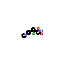 O=C1CCC(c2cccc(-c3ccc(N4CCCCC4)cc3)c2Cl)C(=O)N1